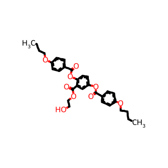 CCCCOc1ccc(C(=O)Oc2ccc(OC(=O)c3ccc(OCCCC)cc3)c(C(=O)OCCO)c2)cc1